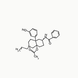 C=CCN1CCC2(c3cccc(O)c3)C[C@@H](NC(=O)c3ccccc3)CCC2(OC(C)=O)C1